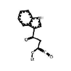 CCOC(=C=O)CC(=O)c1c[nH]c2ccccc12